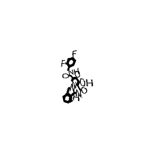 CN1C(=O)c2c(O)c(=O)c(C(=O)NCc3ccc(F)cc3F)cn2N2Cc3ccccc3[C@@H]12